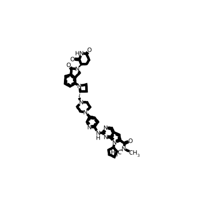 CN(C)C(=O)c1cc2cnc(Nc3ccc(N4CCN(C[C@H]5CCN5c5cccc6c5CN([C@@H]5CCC(=O)NC5=O)C6=O)CC4)cn3)nc2n1C1CCCC1